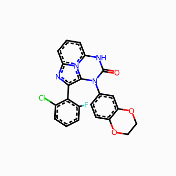 O=C1Nc2cccc3nc(-c4c(F)cccc4Cl)c(n23)N1c1ccc2c(c1)OCCO2